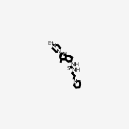 CCN1CCN(c2cc(C)c3cc(NC(=S)NCCCN4CCCCC4)ccc3n2)CC1